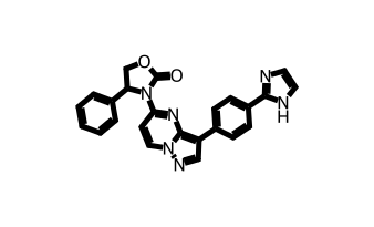 O=C1OCC(c2ccccc2)N1c1ccn2ncc(-c3ccc(-c4ncc[nH]4)cc3)c2n1